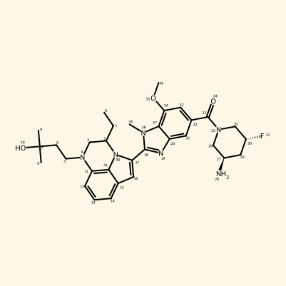 CCC1CN(CCC(C)(C)O)c2cccc3cc(-c4nc5cc(C(=O)N6C[C@H](N)C[C@@H](F)C6)cc(OC)c5n4C)n1c23